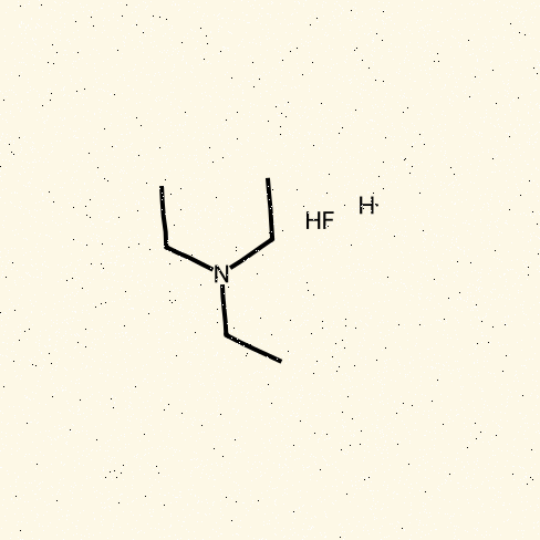 CCN(CC)CC.F.[H]